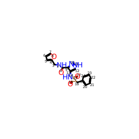 O=C(NCc1ccco1)c1n[nH]cc1NS(=O)(=O)Cc1ccccc1